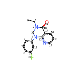 CCN1CN(c2cccc(F)c2)c2ncccc2C1=O